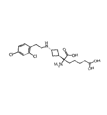 NC(CCCCB(O)O)(C(=O)O)[C@H]1C[C@H](NCCc2ccc(Cl)cc2Cl)C1